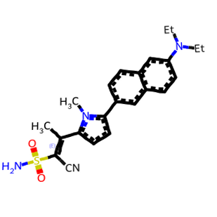 CCN(CC)c1ccc2cc(-c3ccc(/C(C)=C(\C#N)S(N)(=O)=O)n3C)ccc2c1